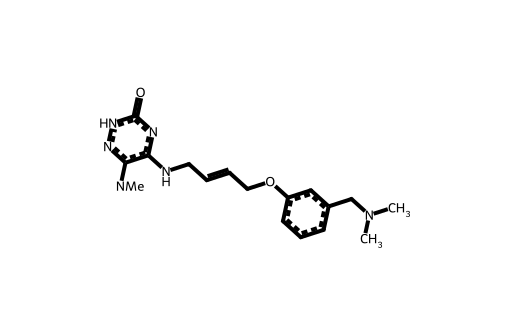 CNc1n[nH]c(=O)nc1NCC=CCOc1cccc(CN(C)C)c1